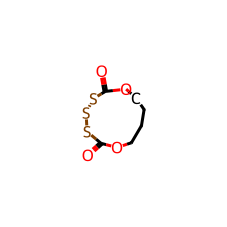 O=C1OCCCCOC(=O)SSS1